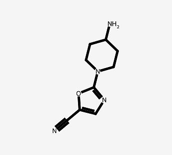 N#Cc1cnc(N2CCC(N)CC2)o1